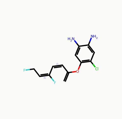 C=C(/C=C\C(F)=C/CF)Oc1cc(N)c(N)cc1Cl